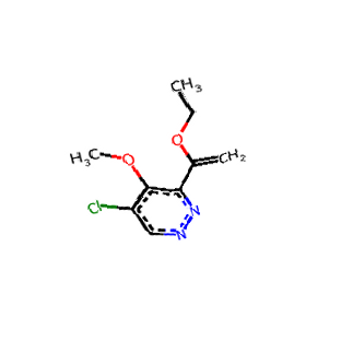 C=C(OCC)c1nncc(Cl)c1OC